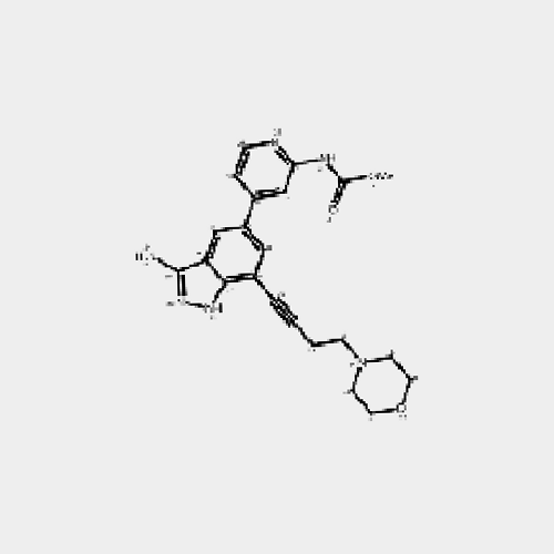 COC(=O)Nc1cc(-c2cc(C#CCCN3CCOCC3)c3[nH]nc(N)c3c2)ccn1